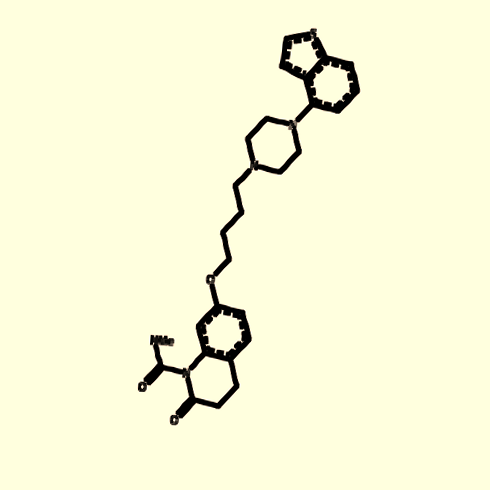 CNC(=O)N1C(=O)CCc2ccc(OCCCCN3CCN(c4cccc5sccc45)CC3)cc21